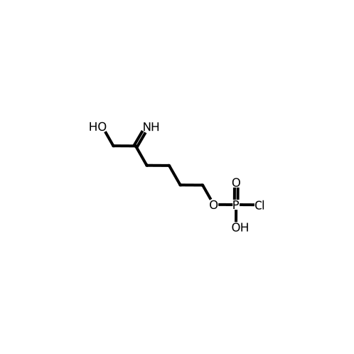 N=C(CO)CCCCOP(=O)(O)Cl